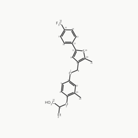 CCC(Oc1ccc(OCc2cc(-c3ccc(C(F)(F)F)cc3)sc2C)cc1C)C(=O)O